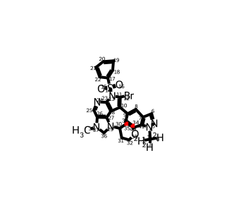 [2H]C([2H])([2H])n1ncc2cc(-c3c(Br)n(S(=O)(=O)c4ccccc4)c4ncc5c(c34)N(C3CCOCC3)CN5C)ccc21